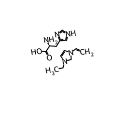 C=CN1C=CN(CC)C1.N[C@@H](Cc1c[nH]cn1)C(=O)O